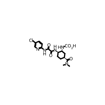 CN(C)C(=O)[C@H]1CC[C@@H](NC(=O)C(=O)Nc2ccc(Cl)cn2)[C@H](NC(=O)O)C1